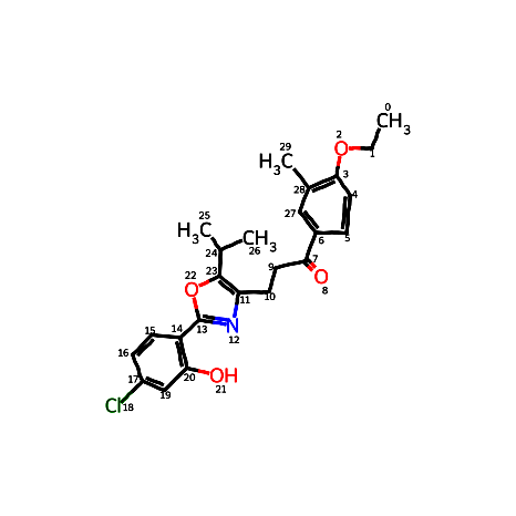 CCOc1ccc(C(=O)CCc2nc(-c3ccc(Cl)cc3O)oc2C(C)C)cc1C